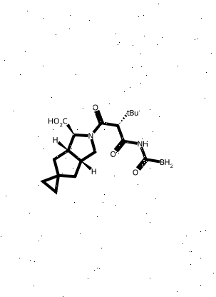 BC(=O)NC(=O)[C@H](C(=O)N1C[C@@H]2CC3(CC3)C[C@@H]2[C@H]1C(=O)O)C(C)(C)C